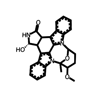 COC1CCC2OC1(C)n1c3c(c4ccccc41)C1C(C(=O)N[C@H]1O)c1c-3n2c2ccccc12